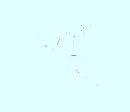 CC(=O)NNC(=O)c1sc2c(c1-c1nc3ccccc3s1)CCN(C(=O)OC(C)(C)C)C2